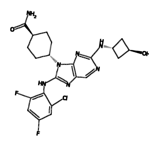 NC(=O)[C@H]1CC[C@H](n2c(Nc3c(F)cc(F)cc3Cl)nc3cnc(N[C@H]4C[C@H](O)C4)nc32)CC1